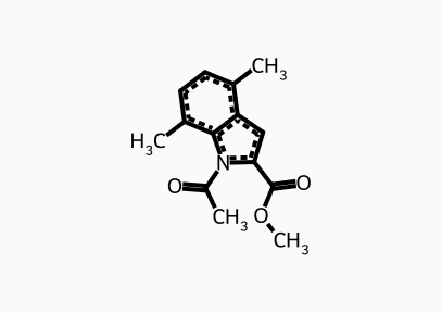 COC(=O)c1cc2c(C)ccc(C)c2n1C(C)=O